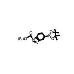 CC(C)COC(=O)n1cnc2cc(B3OC(C)(C)C(C)(C)O3)ccc21